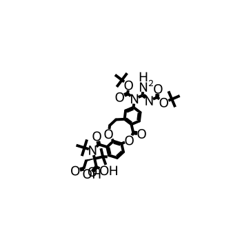 CC(C)(C)OC(=O)N=C(N)N(C(=O)OC(C)(C)C)c1ccc2c(c1)CCOc1c(cccc1C(=O)N(C(C)(C)C)[C@@](CC(=O)O)(C(=O)O)C(C)(C)C)OC2=O